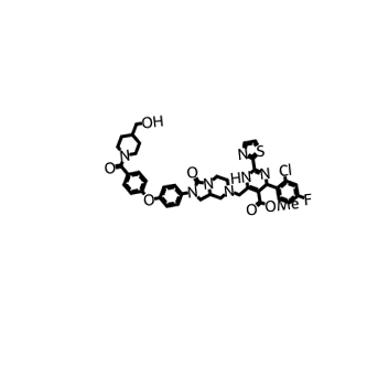 COC(=O)C1=C(CN2CCN3C(=O)N(c4ccc(Oc5ccc(C(=O)N6CCC(CO)CC6)cc5)cc4)CC3C2)NC(c2nccs2)=NC1c1ccc(F)cc1Cl